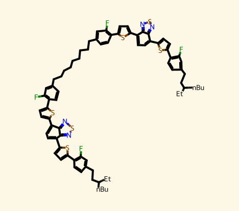 CCCCC(CC)CCc1ccc(-c2ccc(-c3ccc(-c4ccc(-c5ccc(CCCCCCCCCc6ccc(-c7ccc(-c8ccc(-c9ccc(-c%10ccc(CCC(CC)CCCC)cc%10F)s9)c9nsnc89)s7)c(F)c6)cc5F)s4)c4nsnc34)s2)c(F)c1